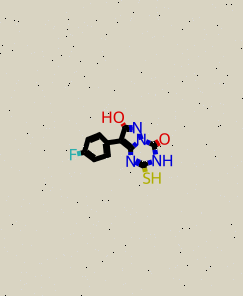 O=c1[nH]c(S)nc2c(-c3ccc(F)cc3)c(O)nn12